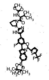 COC(=O)N[C@H](C(=O)N1CCC[C@H]1c1ncc(-c2cc(F)c3c(c2)OC(c2ccc(C(F)(F)F)s2)n2c-3cc3cc(B4OC(C)(C)C(C)(C)O4)ccc32)[nH]1)C(C)C